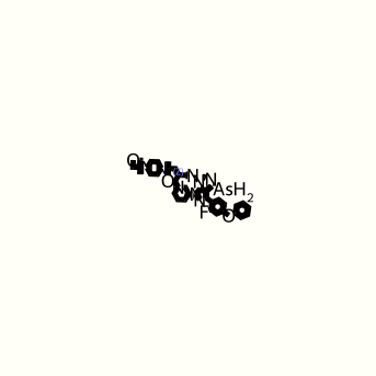 CC(C)(/C=C(/C#N)C(=O)N1CCC[C@@H](n2nc(-c3ccc(Oc4ccccc4)cc3F)c3c([AsH2])ncnc32)C1)N1CCN(C2(C)COC2)CC1